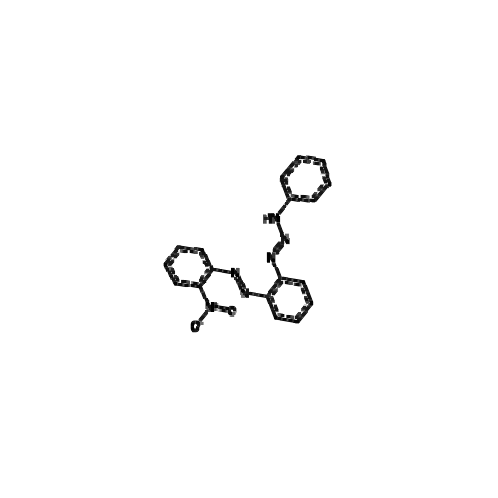 O=[N+]([O-])c1ccccc1N=Nc1ccccc1N=NNc1ccccc1